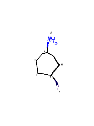 N[C@@H]1CC[C@H](I)C1